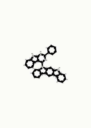 c1ccc(-c2nc(-n3c4ccccc4c4cc5c(cc43)oc3ccccc35)c3c(n2)oc2ccccc23)cc1